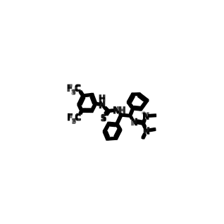 CN(C)C(=N[C@H](c1ccccc1)[C@H](NC(=S)Nc1cc(C(F)(F)F)cc(C(F)(F)F)c1)c1ccccc1)N(C)C